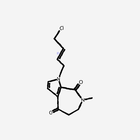 CN1CCC(=O)c2ccn(C/C=C/CCl)c2C1=O